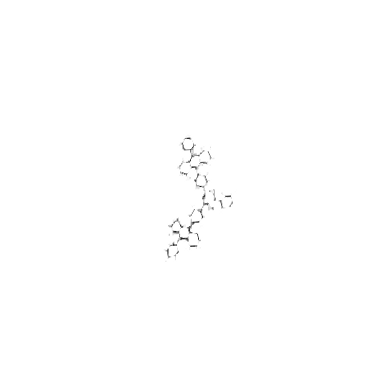 c1ccc(-c2nc(-c3ccc(-c4c5ccccc5c(-c5ccccc5)c5ccccc45)cc3)cc(-c3ccc(-c4c5ccccc5c(-c5ccccc5)c5ccccc45)cc3)n2)cc1